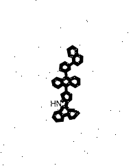 c1cc(-c2cccc3ccccc23)cc(-c2c3ccccc3c(-c3ccc4c(c3)[nH]c3c5ccccc5c5ccccc5c43)c3ccccc23)c1